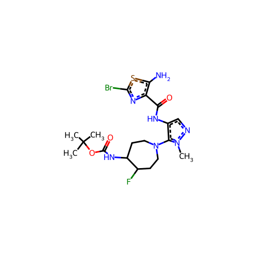 Cn1ncc(NC(=O)c2nc(Br)sc2N)c1N1CCC(F)C(NC(=O)OC(C)(C)C)CC1